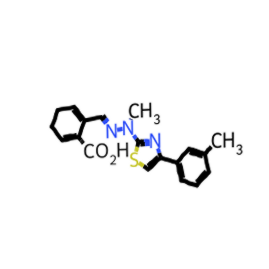 Cc1cccc(-c2csc(N(C)/N=C/C3=CCCC=C3C(=O)O)n2)c1